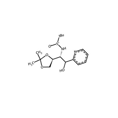 CC1(C)OC[C@H]([C@H](N[S+]([O-])C(C)(C)C)C(O)c2ccccn2)O1